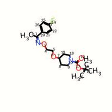 C/C(=N/OCCOC1CCN(C(=O)OC(C)(C)C)CC1)c1ccc(F)cc1